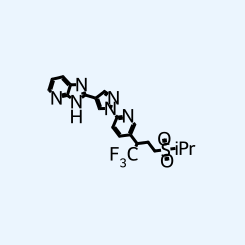 CC(C)S(=O)(=O)CCC(c1ccc(-n2cc(-c3nc4cccnc4[nH]3)cn2)nc1)C(F)(F)F